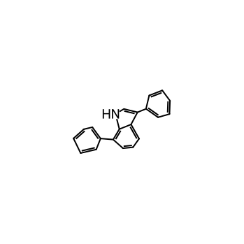 c1ccc(-c2c[nH]c3c(-c4ccccc4)cccc23)cc1